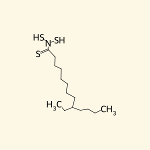 CCCCC(CC)CCCCCCCC(=S)N(S)S